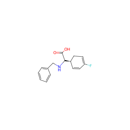 O=C(O)C(NCc1ccccc1)[C@@H]1C=CC(F)=CC1